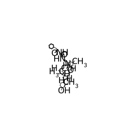 C[C@H]1C[C@H]2O[C@]3(CC[C@H]4[C@@H]5CCC6=C[C@@H](O)CC[C@]6(C)[C@H]5CC45CC5(C)C3)[C@H](C)[C@@H]2N(CCNC(=O)CNC(=O)Cc2ccccc2)C1